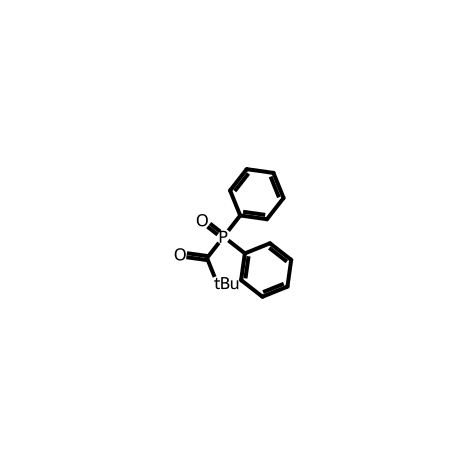 CC(C)(C)C(=O)P(=O)(c1ccccc1)c1ccccc1